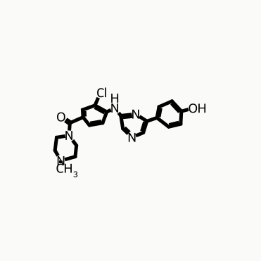 CN1CCN(C(=O)c2ccc(Nc3cncc(-c4ccc(O)cc4)n3)c(Cl)c2)CC1